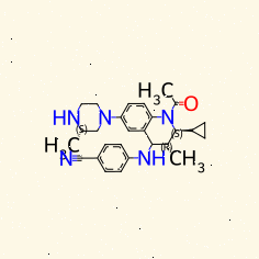 CC(=O)N1c2ccc(N3CCN[C@@H](C)C3)cc2C(Nc2ccc(C#N)cc2)[C@@H](C)[C@@H]1C1CC1